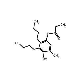 CCCCc1c(OC(=O)CC)cc(C)c(O)c1CCCC